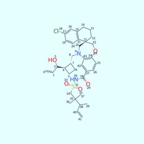 C=CC(O)[C@@H]1CC[C@H]1CN1C[C@@]2(CCCc3cc(Cl)ccc32)COc2ccc(C(=O)NS(=O)(=O)CC(C)(C)C(C)C=C)cc21